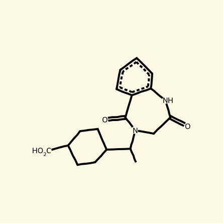 CC(C1CCC(C(=O)O)CC1)N1CC(=O)Nc2ccccc2C1=O